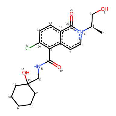 C[C@H](CO)n1ccc2c(C(=O)NCC3(O)CCCCC3)c(Cl)ccc2c1=O